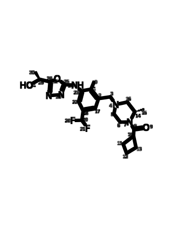 Cc1c(CN2CCN(C(=O)C3CCC3)[C@@H](C)C2)cc(C(F)F)cc1Nc1nnc([C@H](C)O)o1